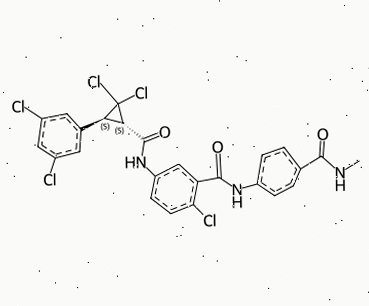 CNC(=O)c1ccc(NC(=O)c2cc(NC(=O)[C@@H]3[C@@H](c4cc(Cl)cc(Cl)c4)C3(Cl)Cl)ccc2Cl)cc1